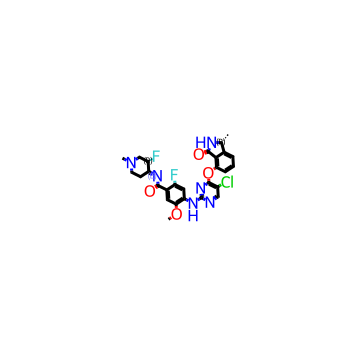 COc1cc(C(=O)/N=C2\CCN(C)C[C@H]2F)c(F)cc1Nc1ncc(Cl)c(Oc2cccc3c2C(=O)N[C@@H]3C)n1